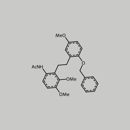 COc1ccc(OCc2ccccc2)c(CCc2c(NC(C)=O)ccc(OC)c2OC)c1